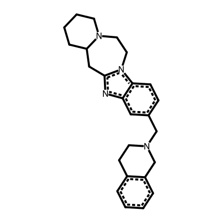 c1ccc2c(c1)CCN(Cc1ccc3c(c1)nc1n3CCN3CCCCC3C1)C2